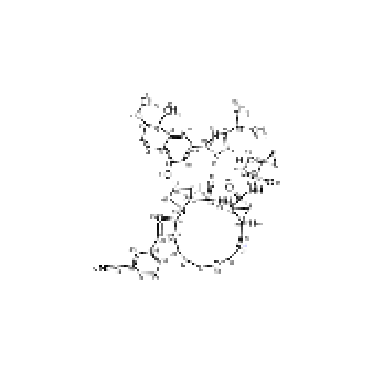 COc1ccc2c(O[C@@H]3C[C@H]4C(=O)N[C@]5(C(=O)NS(=O)(=O)C6(C)CC6)C[C@H]5/C=C\CCCCC[C@H](Nc5cccc(C#N)c5)C(=O)N4C3)cc(-c3nc(C(C)C)cs3)nc2c1C